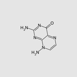 Nc1nc2n(N)ccnc-2c(=O)n1